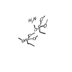 CC[Si](OC)(OC)OC.CC[Si](OC)(OC)OC.N